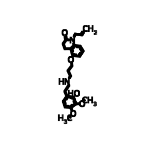 C=CCN1C(=O)CCc2c(OCCCNCCc3ccc(OC)c(OC)c3O)cccc21